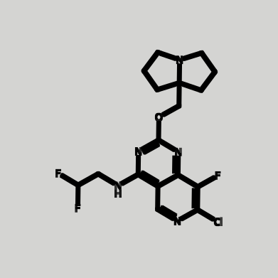 Fc1c(Cl)ncc2c(NCC(F)F)nc(OCC34CCCN3CCC4)nc12